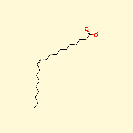 CCCCCCCC/C=C\CCCCCCCCCC(=O)OC